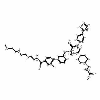 COCCOCCOCCNC(=O)c1ccc(-c2cccc(C[C@H](NC(=O)[C@H]3CC[C@H](CNC(=O)O)CC3)C(=O)Nc3ccc(-c4nnn[nH]4)cc3)c2)c(C)c1